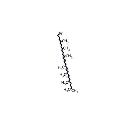 CC(C)=CCC/C(C)=C/C=C/C(C)=C/C=C/C(C)=C/C=C/C=C(\C)CC/C=C(\C)CC/C=C(\C)CCCC(C)C